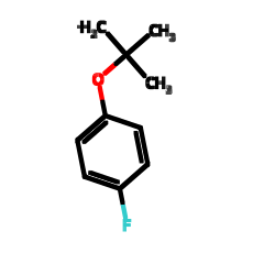 [CH2]C(C)(C)Oc1ccc(F)cc1